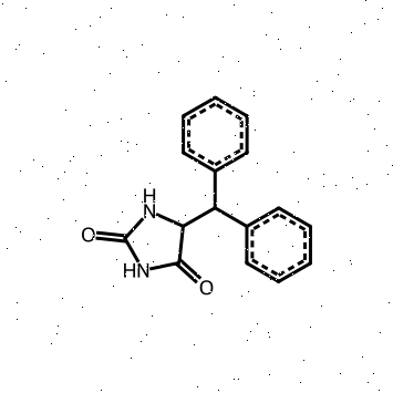 O=C1NC(=O)C(C(c2ccccc2)c2ccccc2)N1